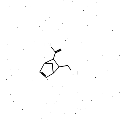 CCC1C2C=CC(C2)C1C(N)=O